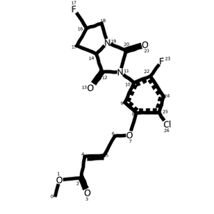 COC(=O)C=CCOc1cc(N2C(=O)C3CC(F)CN3C2=O)c(F)cc1Cl